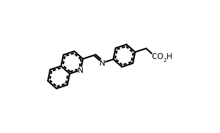 O=C(O)Cc1ccc(N=Cc2ccc3ccccc3n2)cc1